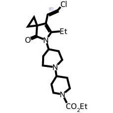 CCOC(=O)N1CCC(N2CCC(N3C(=O)C4(CC4)C(/C=C/Cl)=C3CC)CC2)CC1